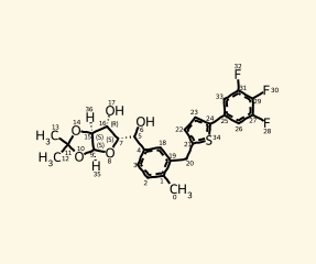 Cc1ccc(C(O)[C@@H]2O[C@H]3OC(C)(C)O[C@H]3[C@@H]2O)cc1Cc1ccc(-c2cc(F)c(F)c(F)c2)s1